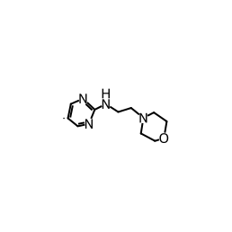 [c]1cnc(NCCN2CCOCC2)nc1